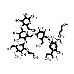 CCC(N)c1ccc(N(C)C)cc1C.COC1C(CO)OC(OCC2OC(OC3C(CO)OC(C)C(O)C3O)C(O)C(O)C2OC2OC(CO)C(OC)C(O)C2OCCO)C(O)C1O.[CH2]CCCO